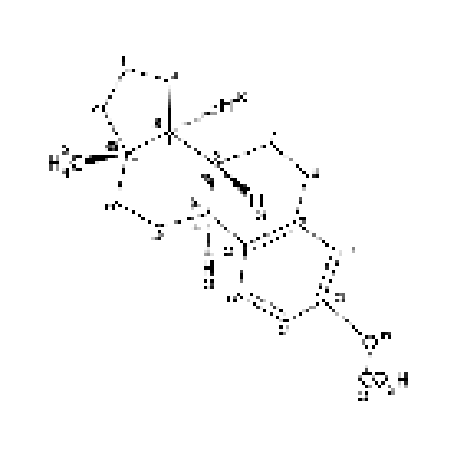 C[C@@]12CCC[C@H]1[C@@H]1CCc3cc(OC(=O)O)ccc3[C@H]1CC2